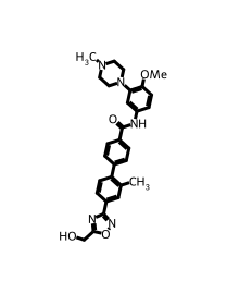 COc1ccc(NC(=O)c2ccc(-c3ccc(-c4noc(CO)n4)cc3C)cc2)cc1N1CCN(C)CC1